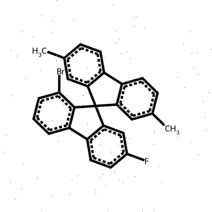 Cc1ccc2c(c1)C1(c3cc(C)ccc3-2)c2cc(F)ccc2-c2cccc(Br)c21